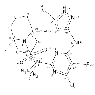 CCS(=O)(=O)N1[C@@H]2CCC[C@H]1C[C@H](N(C)c1nc(Cl)c(F)c(Nc3cc(C)[nH]n3)n1)C2